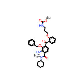 CN(C(=O)c1ccc(C(=O)c2ccccc2OCCCNC(=O)OC(C)(C)C)c(OCc2ccccc2)c1N)C1CCCCC1